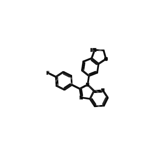 Fc1ccc(-c2nc3cccnc3n2-c2ccc3c(c2)OCN3)cc1